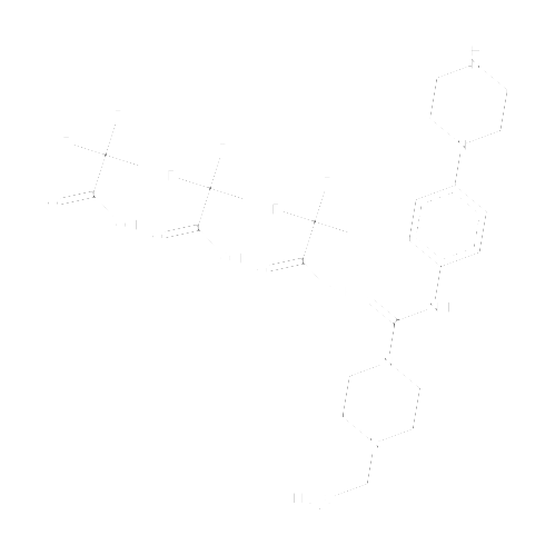 O=C(O)C(F)(F)F.O=C(O)C(F)(F)F.O=C(O)C(F)(F)F.O=C(O)CN1CCN(C(=O)Nc2ccc(N3CCNCC3)cc2)CC1